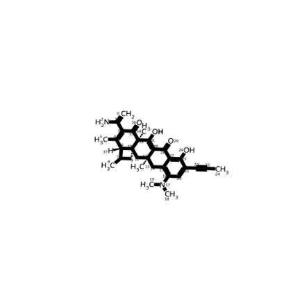 C=C(N)C1=C(C)[C@H]2C(C)C[C@]23C[C@]2(C)Cc4c(N(C)C)cc(C#CC)c(O)c4C(=O)C2=C(O)[C@]3(C)C1=O